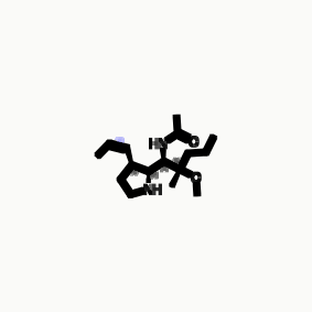 C/C=C\[C@@H]1CCN[C@H]1[C@@H](NC(C)=O)[C@](C)(CCC)OC